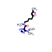 Cc1cc(CCCCN(C)C(=O)c2[nH]cnc2N(C)C=O)on1